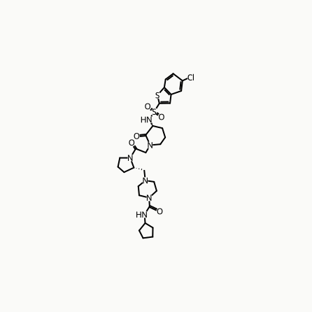 O=C(NC1CCCC1)N1CCN(C[C@@H]2CCCN2C(=O)CN2CCC[C@H](NS(=O)(=O)c3cc4cc(Cl)ccc4s3)C2=O)CC1